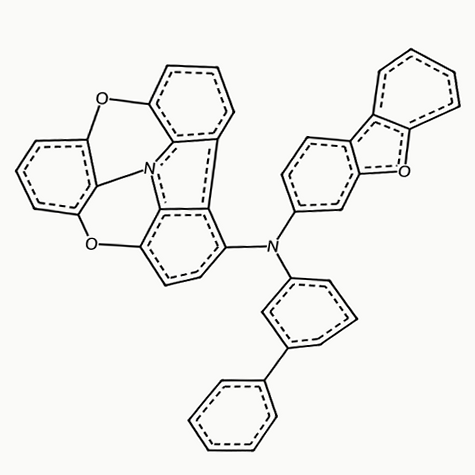 c1ccc(-c2cccc(N(c3ccc4c(c3)oc3ccccc34)c3ccc4c5c3c3cccc6c3n5-c3c(cccc3O4)O6)c2)cc1